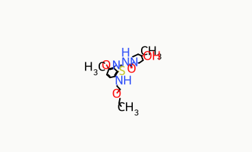 CCCOCCNc1ccc(OC)c2nc(NC(=O)N3CCC(C)(O)CC3)sc12